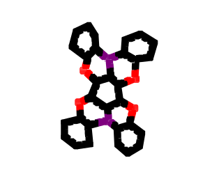 c1ccc2c(c1)oc1c3oc4ccccc4p4c5ccccc5oc(c5oc6ccccc6p2c15)c34